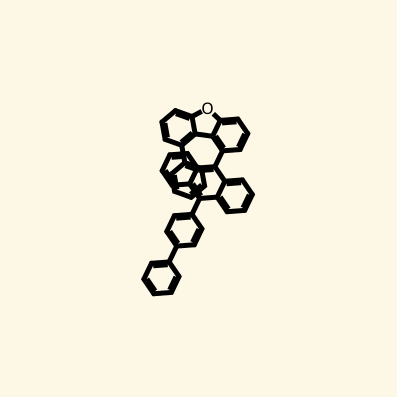 c1ccc(-c2ccc(-c3c4ccccc4c(-c4cccc5oc6cccc(-c7ccccc7)c6c45)c4ccccc34)cc2)cc1